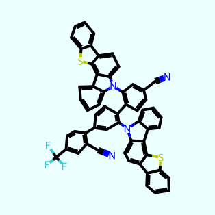 N#Cc1ccc(-c2ccc(-c3ccc(C(F)(F)F)cc3C#N)cc2-n2c3ccccc3c3c4sc5ccccc5c4ccc32)c(-n2c3ccccc3c3c4sc5ccccc5c4ccc32)c1